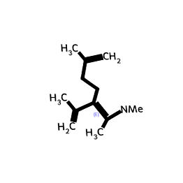 C=C(C)CC/C(C(=C)C)=C(/C)NC